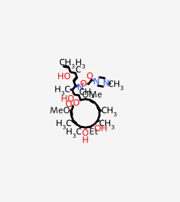 CC=CC(O)C(C)C=CC(=NOCC(=O)N1CCN(C)CC1)C(C)C(O)C(C)C1OC(=O)C(OC)=CC(C)=CC(C)C(O)C(CC)C(O)C(C)CC(C)=CC=CC1OC